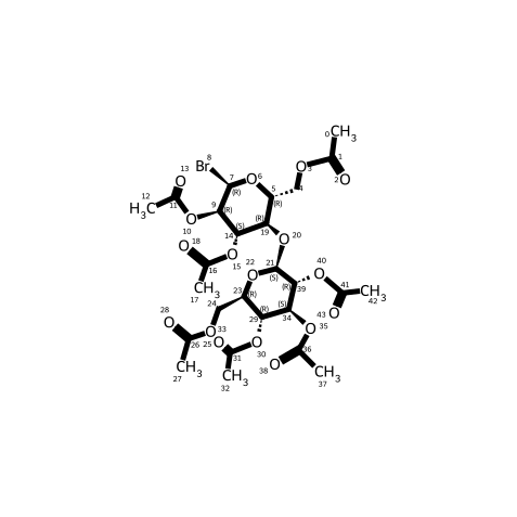 CC(=O)OC[C@H]1O[C@H](Br)[C@H](OC(C)=O)[C@@H](OC(C)=O)[C@@H]1O[C@@H]1O[C@H](COC(C)=O)[C@@H](OC(C)=O)[C@H](OC(C)=O)[C@H]1OC(C)=O